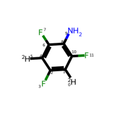 [2H]c1c(F)c([2H])c(F)c(N)c1F